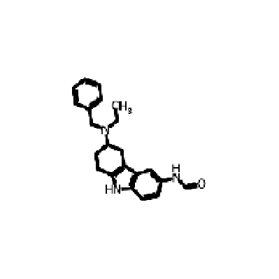 CCN(Cc1ccccc1)C1CCc2[nH]c3ccc(NC=O)cc3c2C1